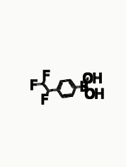 OB(O)c1ccc(C(F)C(F)F)cc1